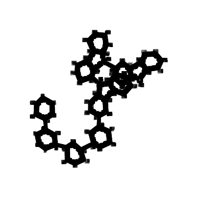 c1ccc(-c2cccc(-c3cccc(-c4cccc(-c5ccc6c(c5)c5ccccc5n6-c5cccc6c7ccccc7n(-c7ccc8oc9ccccc9c8c7)c56)c4)c3)c2)cc1